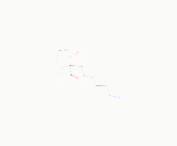 NCCCCCCC1(C(=O)O)CCCCP1(=O)O